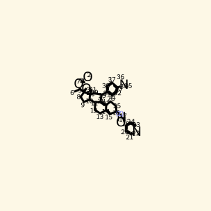 CC(=O)OC1(C(C)=O)CCC2C3CCC4=C/C(=N\Oc5ccncc5)CCC4=C3C(c3ccc(N(C)C)cc3)CC21C